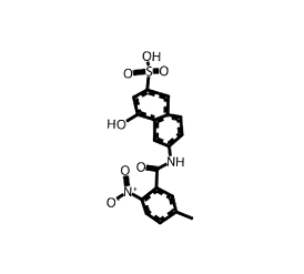 Cc1ccc([N+](=O)[O-])c(C(=O)Nc2ccc3cc(S(=O)(=O)O)cc(O)c3c2)c1